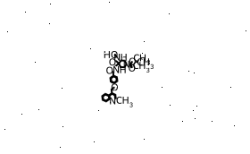 Cc1cc(COc2ccc(C(=O)NCC3(C(=O)NO)CCN(C(=O)OC(C)(C)C)CC3)cc2)c2ccccc2n1